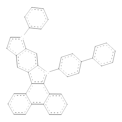 c1ccc(-c2ccc(-n3c4cc5c(ccn5-c5ccccc5)cc4c4c5ccccc5c5ccccc5c43)cc2)cc1